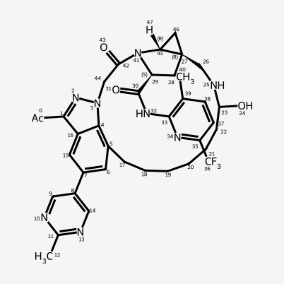 CC(=O)c1nn2c3c(cc(-c4cnc(C)nc4)cc13)CCCCCCC(O)NC[C@@]13C[C@@H](C(=O)Nc4nc(C(F)(F)F)ccc4C)N(C(=O)C2)[C@@H]1C3